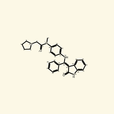 CN(C(=O)CN1CCCC1)c1ccc(NC(=C2C(=O)Nc3ccccc32)c2ccccc2)cc1